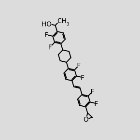 CC(O)c1ccc(C2CCC(c3ccc(/C=C/c4ccc(C5CO5)c(F)c4F)c(F)c3F)CC2)c(F)c1F